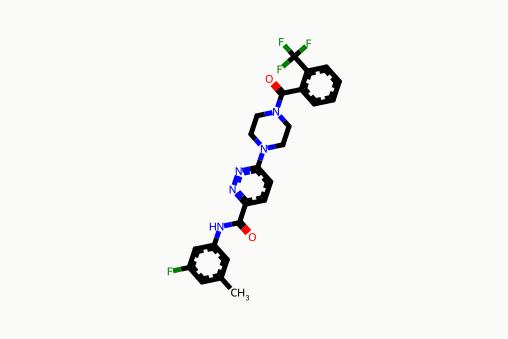 Cc1cc(F)cc(NC(=O)c2ccc(N3CCN(C(=O)c4ccccc4C(F)(F)F)CC3)nn2)c1